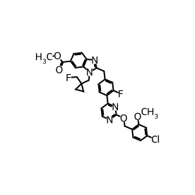 COC(=O)c1ccc2nc(Cc3ccc(-c4ccnc(OCc5ccc(Cl)cc5OC)n4)c(F)c3)n(CC3(CF)CC3)c2c1